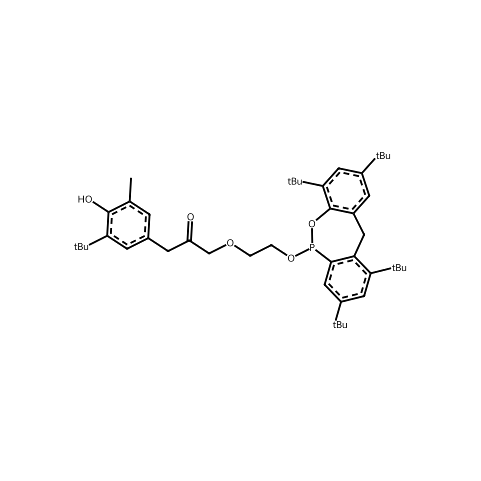 Cc1cc(CC(=O)COCCOP2Oc3c(cc(C(C)(C)C)cc3C(C)(C)C)Cc3c2cc(C(C)(C)C)cc3C(C)(C)C)cc(C(C)(C)C)c1O